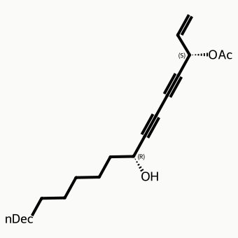 C=C[C@@H](C#CC#C[C@H](O)CCCCCCCCCCCCCCC)OC(C)=O